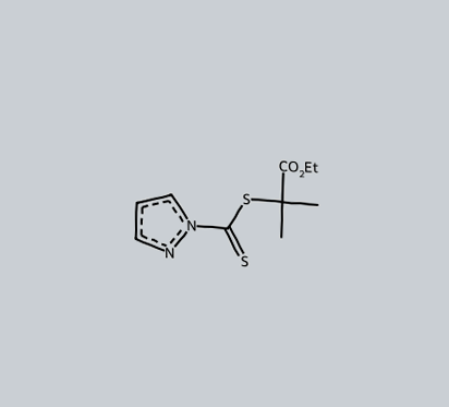 CCOC(=O)C(C)(C)SC(=S)n1cccn1